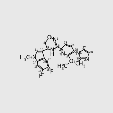 COc1nc(C2=NOCC(c3cn(C)c4cc(F)c(F)cc34)N2)ccc1-n1ccnc1C